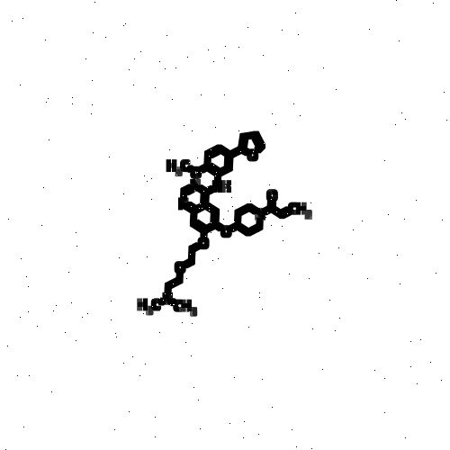 C=CC(=O)N1CCC(Oc2cc3c(Nc4cc(-c5ccco5)ccc4OC)ncnc3cc2OCCOCCN(C)C)CC1